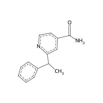 CC(c1ccccc1)c1cc(C(N)=O)ccn1